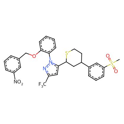 CS(=O)(=O)c1cccc(C2CCSC(c3cc(C(F)(F)F)nn3-c3ccccc3OCc3cccc([N+](=O)[O-])c3)C2)c1